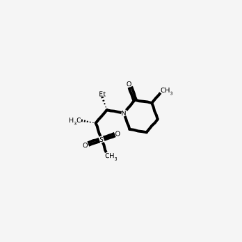 CC[C@@H]([C@@H](C)S(C)(=O)=O)N1CCCC(C)C1=O